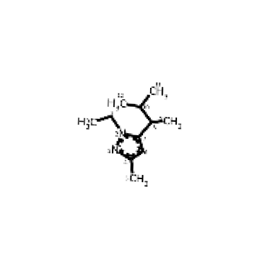 CCn1nc(C)cc1C(C)C(C)C